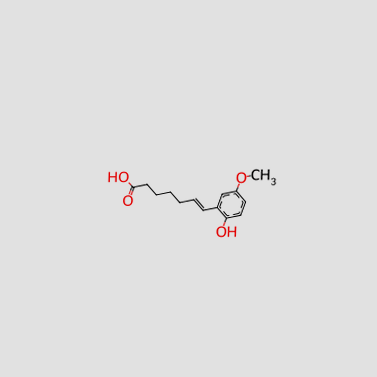 COc1ccc(O)c(C=CCCCCC(=O)O)c1